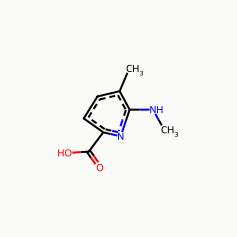 CNc1nc(C(=O)O)ccc1C